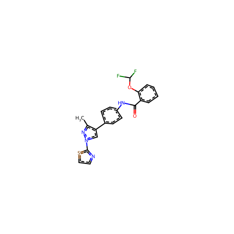 Cc1nn(-c2nccs2)cc1-c1ccc(NC(=O)c2ccccc2OC(F)F)cc1